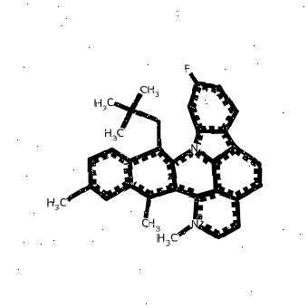 Cc1ccc2c(CC(C)(C)C)c3c(c(C)c2c1)c1c2c(ccc4c5ccc(F)cc5n3c42)cc[n+]1C